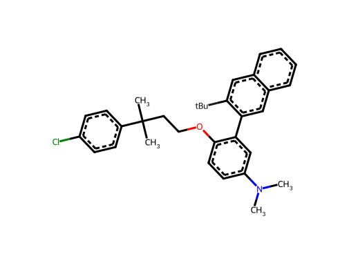 CN(C)c1ccc(OCCC(C)(C)c2ccc(Cl)cc2)c(-c2cc3ccccc3cc2C(C)(C)C)c1